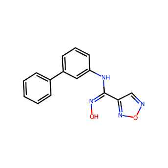 ON=C(Nc1cccc(-c2ccccc2)c1)c1cnon1